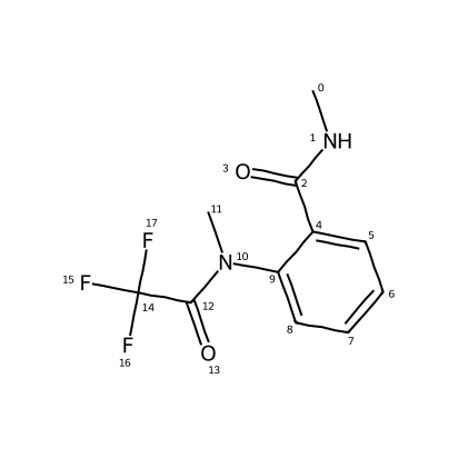 CNC(=O)c1ccccc1N(C)C(=O)C(F)(F)F